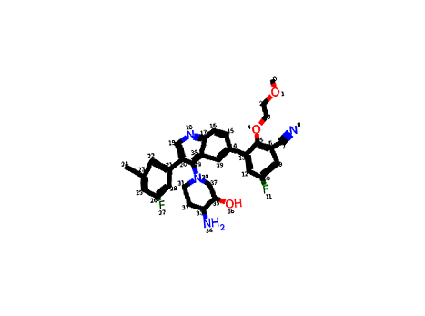 COCCOc1c(C#N)cc(F)cc1-c1ccc2ncc(-c3cc(C)cc(F)c3)c(N3CCC(N)C(O)C3)c2c1